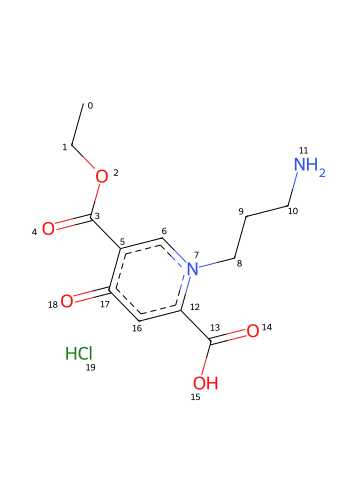 CCOC(=O)c1cn(CCCN)c(C(=O)O)cc1=O.Cl